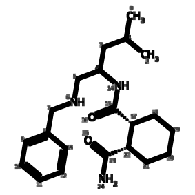 CC(C)CC(CNCc1ccccc1)NC(=O)[C@@H]1CCCC[C@@H]1C(N)=O